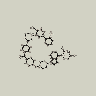 Nc1nnc(-c2ccccc2O)cc1N1CCC[C@H](c2ccc(C(=O)N3CCC(CN4CCC(n5ccc6c(N7CCC(=O)NC7=O)cccc65)CC4)CC3)cc2)C1